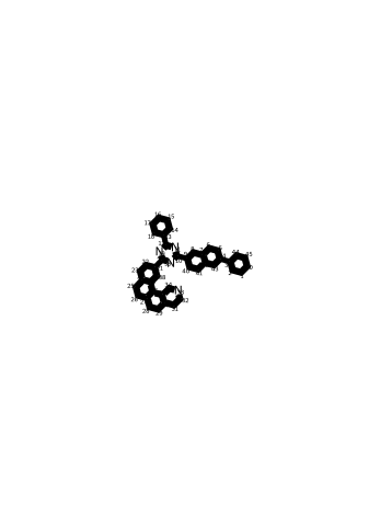 c1ccc(-c2ccc3cc(-c4nc(-c5ccccc5)nc(-c5ccc6ccc7ccc8ccncc8c7c6c5)n4)ccc3c2)cc1